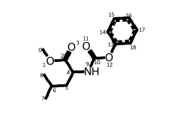 COC(=O)C(CC(C)C)NC(=O)Oc1ccccc1